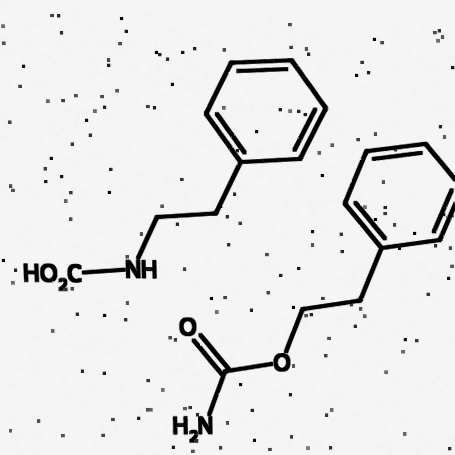 NC(=O)OCCc1ccccc1.O=C(O)NCCc1ccccc1